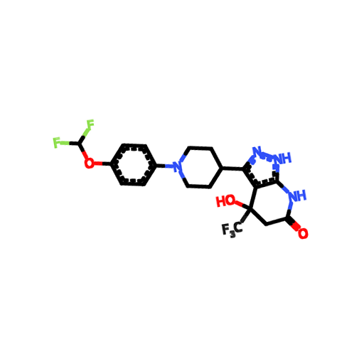 O=C1CC(O)(C(F)(F)F)c2c(C3CCN(c4ccc(OC(F)F)cc4)CC3)n[nH]c2N1